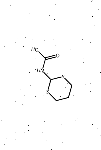 O=C(O)NC1SCCCS1